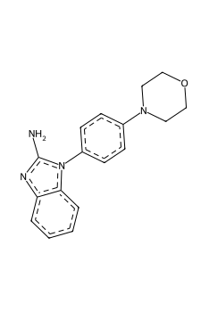 Nc1nc2ccccc2n1-c1ccc(N2CCOCC2)cc1